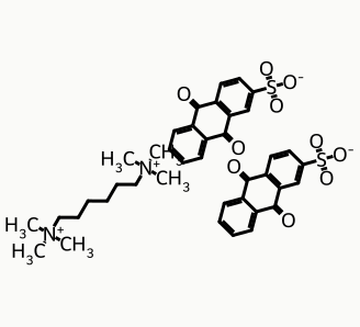 C[N+](C)(C)CCCCCC[N+](C)(C)C.O=C1c2ccccc2C(=O)c2cc(S(=O)(=O)[O-])ccc21.O=C1c2ccccc2C(=O)c2cc(S(=O)(=O)[O-])ccc21